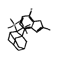 CC1=Cc2c(C34CC5C[C](CC(C5)C3)C43[Si](C)(C)O[Si]3(C)C)ccc(F)c2C1